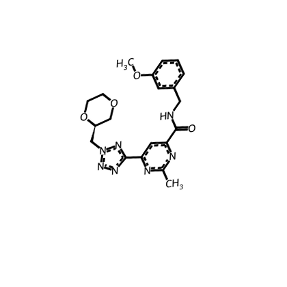 COc1cccc(CNC(=O)c2cc(-c3nnn(C[C@@H]4COCCO4)n3)nc(C)n2)c1